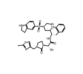 Cc1nc(CN2CCN([C@H](C(=O)N[C@@H](Cc3ccccc3)[C@H](O)CN(CC(C)C)S(=O)(=O)c3ccc4c(c3)CCN4)C(C)C)C2=O)cs1